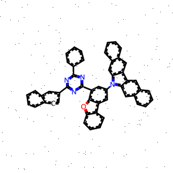 c1ccc(-c2nc(-c3ccc4ccccc4c3)nc(-c3cc(-n4c5cc6ccccc6cc5c5cc6ccccc6cc54)cc4c3oc3ccccc34)n2)cc1